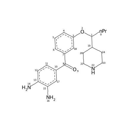 CCCC(Oc1cccc(C(=O)c2ccc(N)c(N)c2)c1)C1CCNCC1